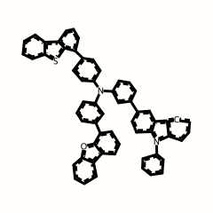 c1ccc(-n2c3ccccc3c3cc(-c4cccc(N(c5ccc(-c6cccc7c6sc6ccccc67)cc5)c5cccc(-c6cccc7c6oc6ccccc67)c5)c4)ccc32)cc1